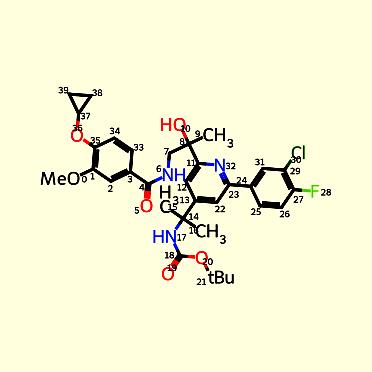 COc1cc(C(=O)NCC(C)(O)c2cc(C(C)(C)NC(=O)OC(C)(C)C)cc(-c3ccc(F)c(Cl)c3)n2)ccc1OC1CC1